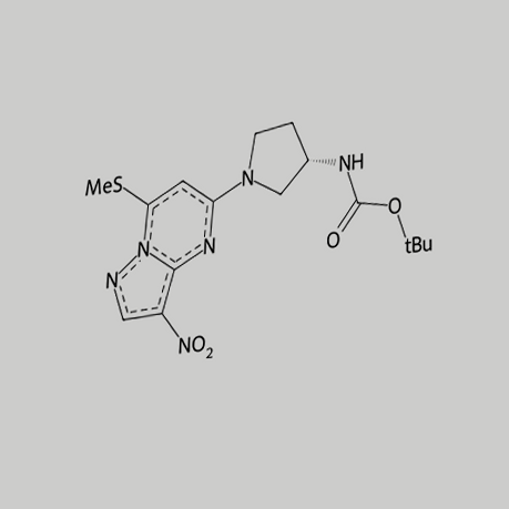 CSc1cc(N2CC[C@H](NC(=O)OC(C)(C)C)C2)nc2c([N+](=O)[O-])cnn12